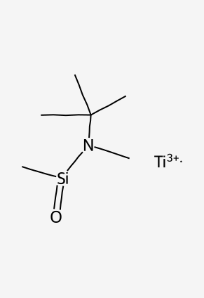 CN([Si](C)=O)C(C)(C)C.[Ti+3]